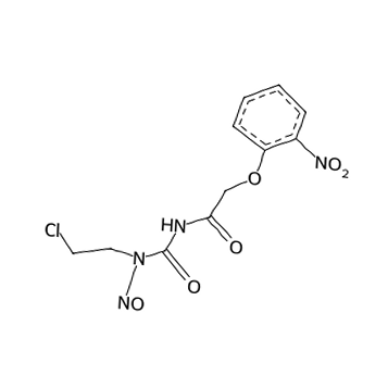 O=NN(CCCl)C(=O)NC(=O)COc1ccccc1[N+](=O)[O-]